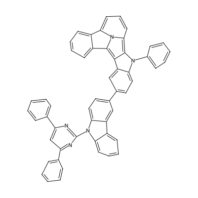 c1ccc(-c2cc(-c3ccccc3)nc(-n3c4ccccc4c4cc(-c5ccc6c(c5)c5c(c7cccc8c9ccccc9c5n87)n6-c5ccccc5)ccc43)n2)cc1